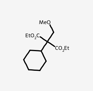 CCOC(=O)C(COC)(C(=O)OCC)C1CCCCC1